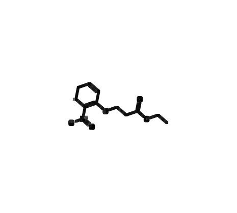 CCOC(=O)CCOC1=C([N+](=O)[O-])[CH]CC=C1